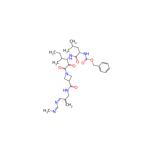 C=C(/C=N\C=N/C)CNC(=O)C1CN(C(=O)C(=O)C(NC(=O)C(CC(C)C)NC(=O)OCc2ccccc2)C(C)CC)C1